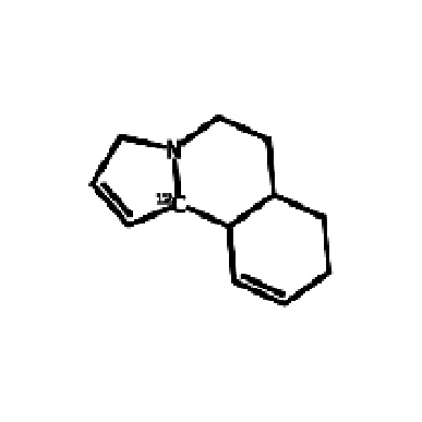 C1=CC2C(CC1)CCN1CC=C[12CH]21